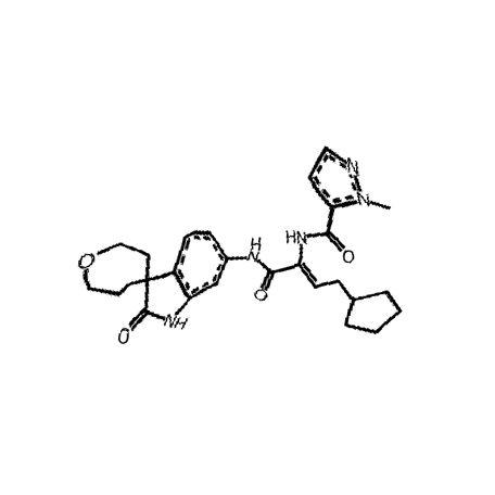 Cn1nccc1C(=O)NC(=CCC1CCCC1)C(=O)Nc1ccc2c(c1)NC(=O)C21CCOCC1